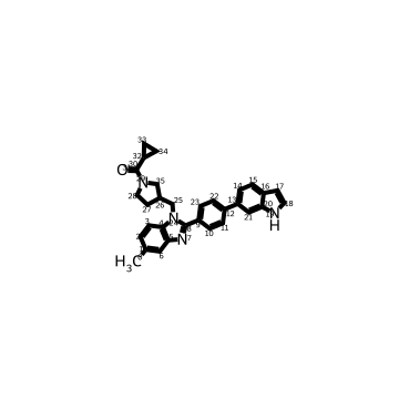 Cc1ccc2c(c1)nc(-c1ccc(-c3ccc4cc[nH]c4c3)cc1)n2CC1CCN(C(=O)C2CC2)C1